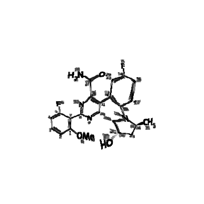 COc1cccc(F)c1-c1ncc(-c2cc(F)ccc2N2C[C@@H](O)C[C@@H]2C)c(C(N)=O)n1